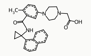 Cc1ccc(N2CCN(CC(=O)O)CC2)cc1C(=O)NC1(c2cccc3ccccc23)CC1